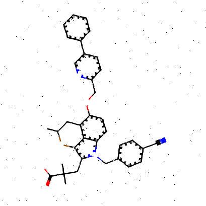 CC1Cc2c(OCc3ccc(-c4ccccc4)cn3)ccc3c2c(c(CC(C)(C)C(=O)O)n3Cc2ccc(C#N)cc2)S1